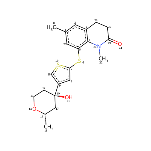 Cc1cc2c(c(Sc3cc([C@@]4(O)CCO[C@@H](C)C4)cs3)c1)N(C)C(=O)CC2